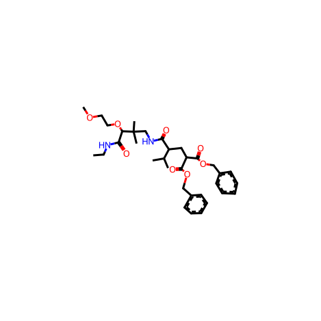 CCNC(=O)C(OCCOC)C(C)(C)CNC(=O)C(CC(C(=O)OCc1ccccc1)C(=O)OCc1ccccc1)C(C)C